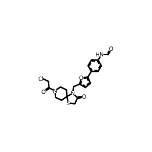 O=CNc1ccc(-c2ccc(CN3C(=O)CSC34CCN(C(=O)CCl)CC4)o2)cc1